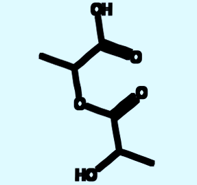 CC(O)C(=O)OC(C)C(=O)O